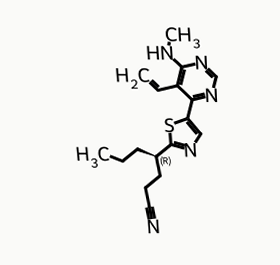 C=Cc1c(NC)ncnc1-c1cnc([C@H](CCC)CCC#N)s1